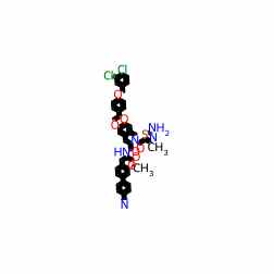 COC(=O)C(Cc1ccc(-c2ccc(C#N)cc2)cc1)NC(=O)C1Cc2cc3c(cc2CN1C(=O)c1sc(N)nc1C)OC(c1ccc(OCc2ccc(Cl)c(Cl)c2)cc1)CO3